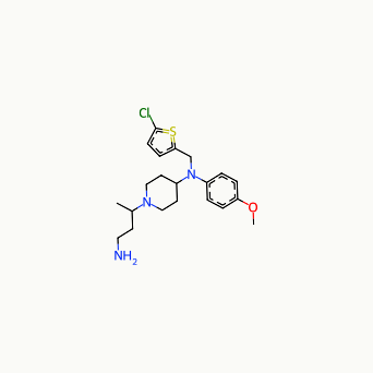 COc1ccc(N(Cc2ccc(Cl)s2)C2CCN(C(C)CCN)CC2)cc1